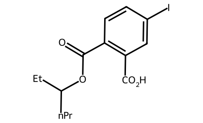 CCCC(CC)OC(=O)c1ccc(I)cc1C(=O)O